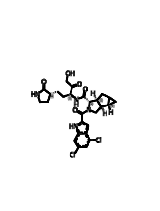 O=C1NCC[C@H]1CC[C@H](NC(=O)[C@@H]1[C@H]2CC3C[C@@H]3[C@H]2CN1C(=O)c1cc2c(Cl)cc(Cl)cc2[nH]1)C(=O)CO